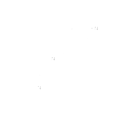 Cc1cnc2cc(C)n(-c3ccc(C#N)cc3)c2c1